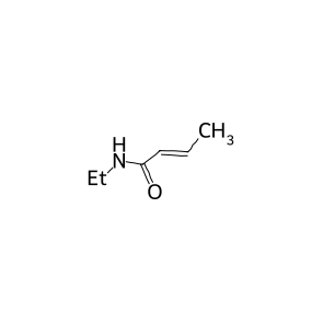 [CH2]CNC(=O)C=CC